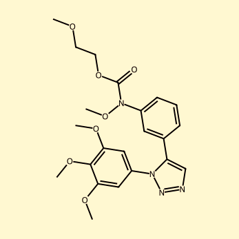 COCCOC(=O)N(OC)c1cccc(-c2cnnn2-c2cc(OC)c(OC)c(OC)c2)c1